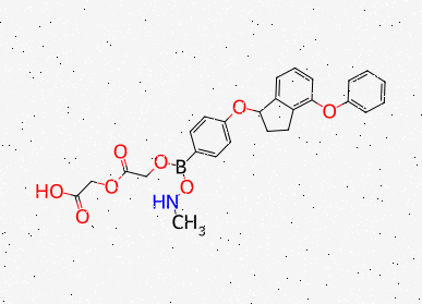 CNOB(OCC(=O)OCC(=O)O)c1ccc(OC2CCc3c(Oc4ccccc4)cccc32)cc1